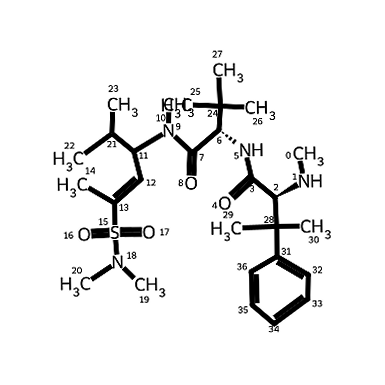 CN[C@H](C(=O)N[C@H](C(=O)N(C)C(/C=C(\C)S(=O)(=O)N(C)C)C(C)C)C(C)(C)C)C(C)(C)c1ccccc1